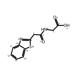 O=C(O)CNC(=O)Cc1nc2ccccc2s1